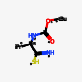 CC(C)[C@@H](NC(=O)OC(C)(C)C)C(=N)S